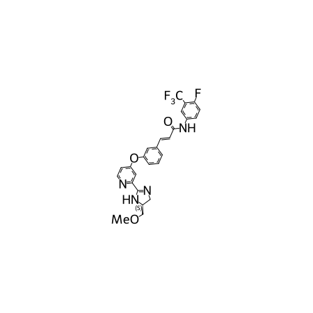 COC[C@@H]1CN=C(c2cc(Oc3cccc(C=CC(=O)Nc4ccc(F)c(C(F)(F)F)c4)c3)ccn2)N1